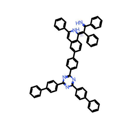 N=C(/C(=C1\NC(c2ccccc2)=Cc2cc(-c3ccc(-c4nc(-c5ccc(-c6ccccc6)cc5)nc(-c5ccc(-c6ccccc6)cc5)n4)cc3)ccc21)c1ccccc1)c1ccccc1